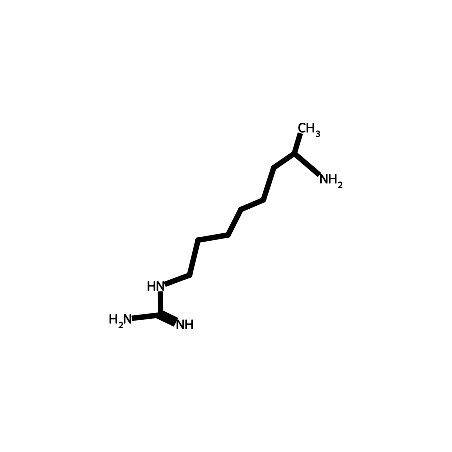 CC(N)CCCCCCNC(=N)N